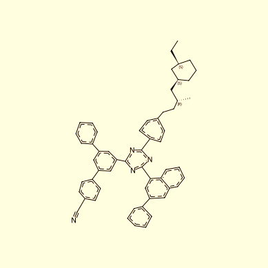 CC[C@H]1CCC[C@@H](C[C@H](C)CCc2ccc(-c3nc(-c4cc(-c5ccccc5)cc(-c5ccc(C#N)cc5)c4)nc(-c4cc(-c5ccccc5)cc5ccccc45)n3)cc2)C1